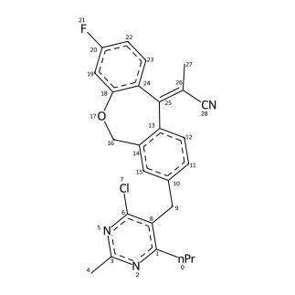 CCCc1nc(C)nc(Cl)c1Cc1ccc2c(c1)COc1cc(F)ccc1C2=C(C)C#N